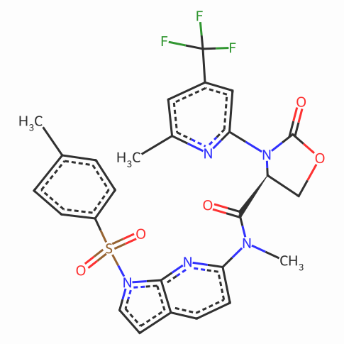 Cc1ccc(S(=O)(=O)n2ccc3ccc(N(C)C(=O)[C@@H]4COC(=O)N4c4cc(C(F)(F)F)cc(C)n4)nc32)cc1